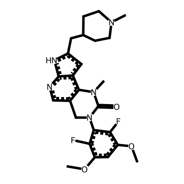 COc1cc(OC)c(F)c(N2Cc3cnc4[nH]c(CC5CCN(C)CC5)cc4c3N(C)C2=O)c1F